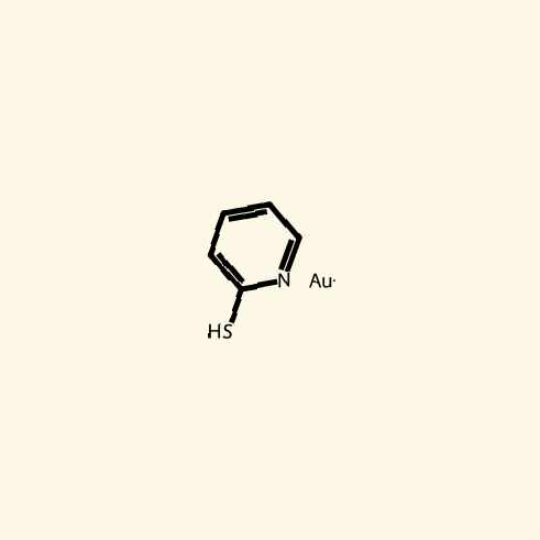 Sc1ccccn1.[Au]